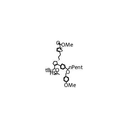 CCCCCC(OCc1ccc(OC)cc1)c1ccc(C2=C(C(O[SiH](C)C)C(C)(C)C)CC[C@@H]2CCCc2ccc(C(=O)OC)s2)cc1